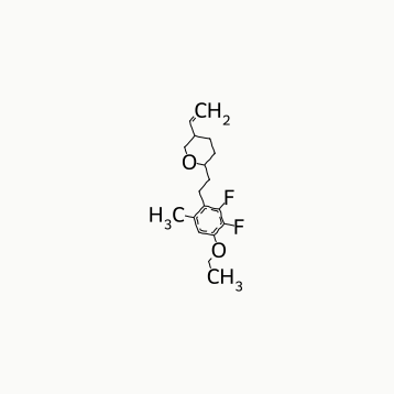 C=CC1CCC(CCc2c(C)cc(OCC)c(F)c2F)OC1